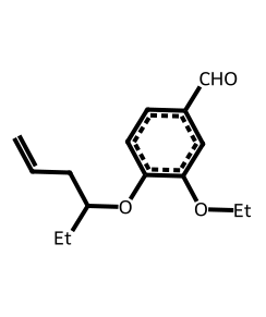 C=CCC(CC)Oc1ccc(C=O)cc1OCC